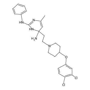 CC1=CC(N)(CCN2CCC(Oc3ccc(Cl)c(Cl)c3)CC2)NC(Nc2ccccc2)=N1